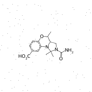 CC1Oc2ccc(C(=O)O)cc2N2C1CN(C(N)=O)C2(C)C